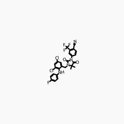 CC1(C)C(=O)N(c2ccc(C#N)c(C(F)(F)F)c2)C(=O)N1Cc1cc(Cl)cc(Cl)c1Nc1ccc(F)cc1